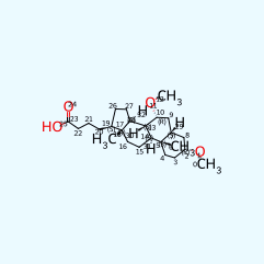 CO[C@@H]1CC[C@@]2(C)[C@@H](C1)C[C@@H](OC)[C@@H]1[C@@H]2CC[C@]2(C)[C@@H](CCCC(=O)O)CC[C@@H]12